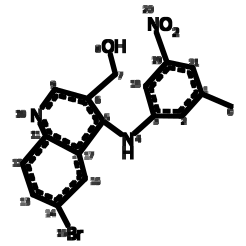 Cc1cc(Nc2c(CO)cnc3ccc(Br)cc23)cc([N+](=O)[O-])c1